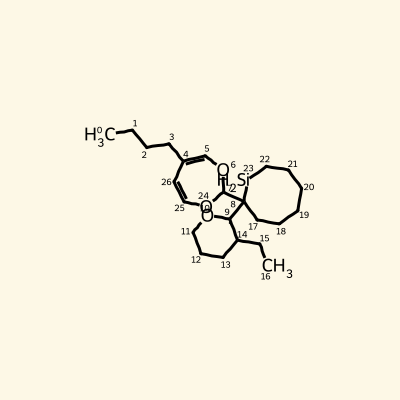 CCCCC1=COC(C2([C]3OCCCC3CC)CCCCCC[SiH2]2)OC=C1